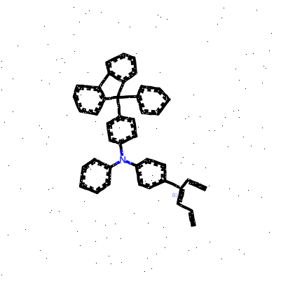 C=C/C=C(\C=C)c1ccc(N(c2ccccc2)c2ccc(C3(c4ccccc4)c4ccccc4-c4ccccc43)cc2)cc1